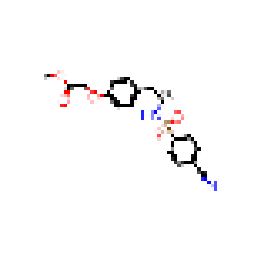 COC(=O)COc1ccc(C[C@H](C)NS(=O)(=O)c2ccc(C#N)cc2)cc1